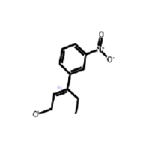 CC/C(=C\CCl)c1cccc([N+](=O)[O-])c1